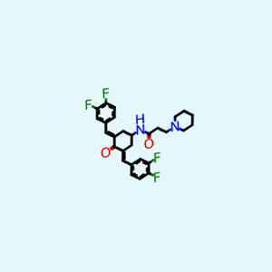 O=C(CCN1CCCCC1)NC1C/C(=C\c2ccc(F)c(F)c2)C(=O)/C(=C/c2ccc(F)c(F)c2)C1